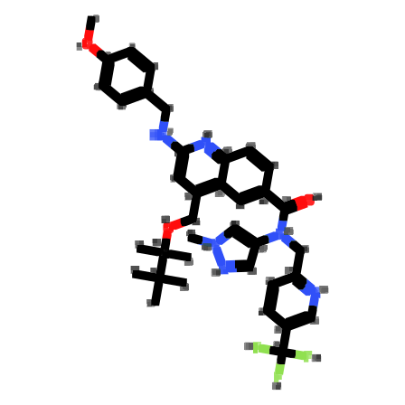 COc1ccc(CNc2cc(CO[Si](C)(C)C(C)(C)C)c3cc(C(=O)N(Cc4ccc(C(F)(F)F)cn4)c4cnn(C)c4)ccc3n2)cc1